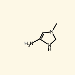 CN1C=C(N)NC1